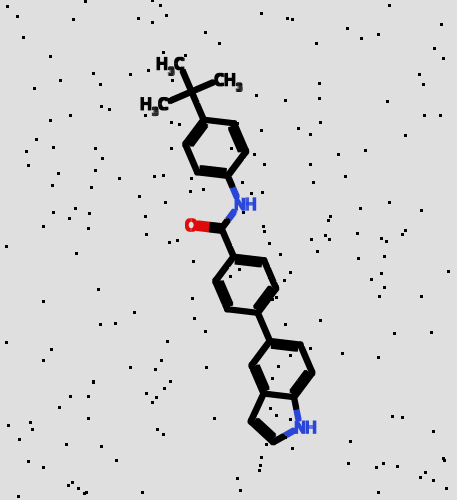 CC(C)(C)c1ccc(NC(=O)c2ccc(-c3ccc4[nH]ccc4c3)cc2)cc1